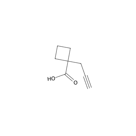 C#CCC1(C(=O)O)CCC1